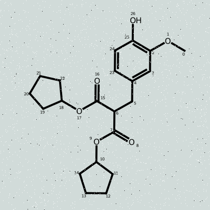 COc1cc(CC(C(=O)OC2CCCC2)C(=O)OC2CCCC2)ccc1O